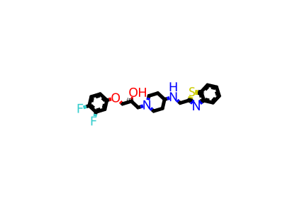 O[C@H](COc1ccc(F)c(F)c1)CN1CCC(NCc2nc3ccccc3s2)CC1